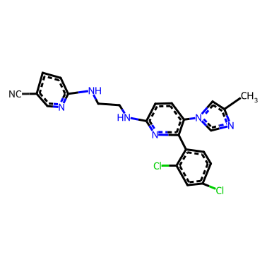 Cc1cn(-c2ccc(NCCNc3ccc(C#N)cn3)nc2-c2ccc(Cl)cc2Cl)cn1